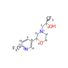 O[C@@H](CN1CCOC(c2ccc(C(F)(F)F)nc2)C1)C(F)(F)F